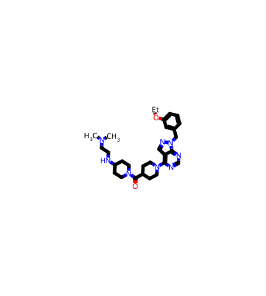 CCOc1cccc(Cn2ncc3c(N4CCC(C(=O)N5CCC(NCCN(C)C)CC5)CC4)ncnc32)c1